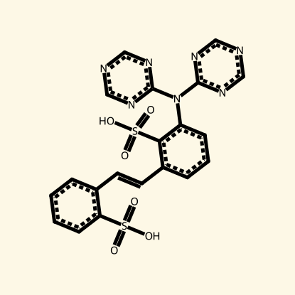 O=S(=O)(O)c1ccccc1C=Cc1cccc(N(c2ncncn2)c2ncncn2)c1S(=O)(=O)O